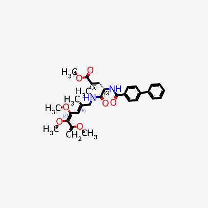 C=C(OC)/C(OC)=C(\C=C(/C)CNC(=O)[C@H](C[C@H](C)C(=O)OC)NC(=O)c1ccc(-c2ccccc2)cc1)OC